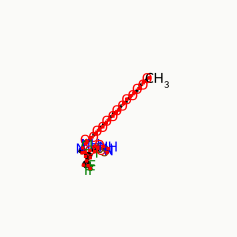 COCCOCCOCCOCCOCCOCCOCCOCCOCCOCCOCCOCCC(=O)NCc1cc(-c2cc(-c3cccc(C(F)(F)F)c3)ccc2Oc2cc(F)c(S(=O)(=O)Nc3nncs3)cc2Cl)ccn1